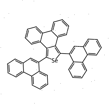 c1ccc2c(c1)cc(-c1[se]c(-c3cc4ccccc4c4ccccc34)c3c4ccccc4c4ccccc4c13)c1ccccc12